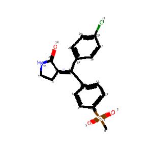 CS(=O)(=O)c1ccc(/C(=C2\CCNC2=O)c2ccc(Cl)cc2)cc1